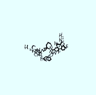 Cc1nc(C)n(C(=O)N2CC3(CCCCN(c4nc(OC[C@@]56CCCN5C[C@H](F)C6)nc5c(F)c(-c6ccc(F)c7sc(N)c(C#N)c67)c(Cl)cc45)C3)C2)n1